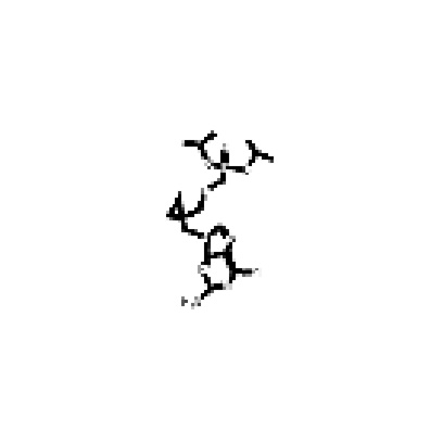 CC(C)OP(=O)(COCC1(Cn2cnc3c(Cl)nc(N)nc32)CC1)OC(C)C